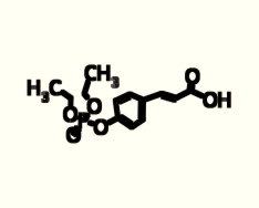 CCOP(=O)(OCC)Oc1ccc(C=CC(=O)O)cc1